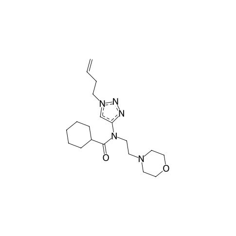 C=CCCn1cc(N(CCN2CCOCC2)C(=O)C2CCCCC2)nn1